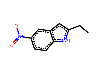 CCc1cc2cc([N+](=O)[O-])ccc2[nH]1